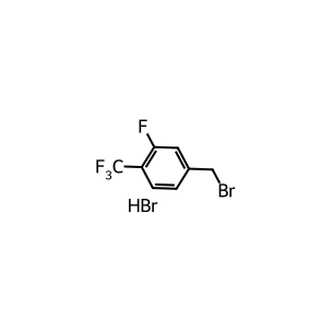 Br.Fc1cc(CBr)ccc1C(F)(F)F